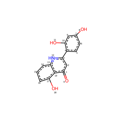 O=c1cc(-c2ccc(O)cc2O)[nH]c2cccc(O)c12